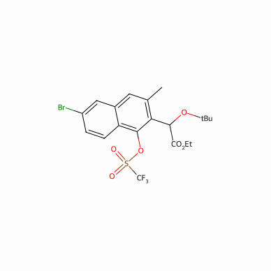 CCOC(=O)C(OC(C)(C)C)c1c(C)cc2cc(Br)ccc2c1OS(=O)(=O)C(F)(F)F